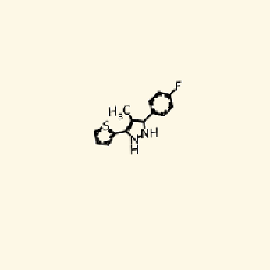 CC1=C(c2cccs2)NNC1c1ccc(F)cc1